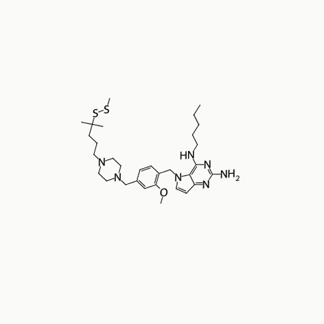 CCCCCNc1nc(N)nc2ccn(Cc3ccc(CN4CCN(CCCC(C)(C)SSC)CC4)cc3OC)c12